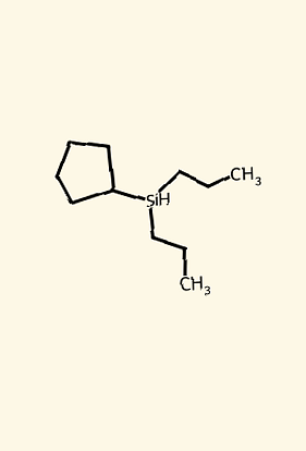 CCC[SiH](CCC)C1CCCC1